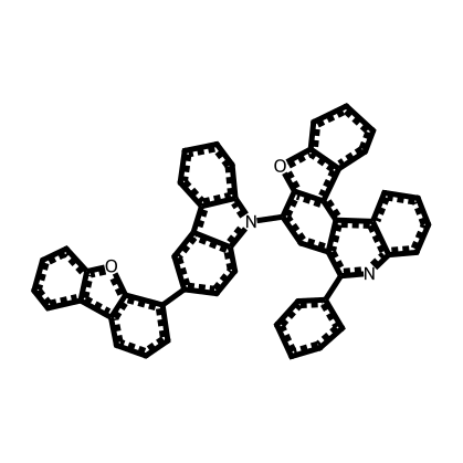 c1ccc(-c2nc3ccccc3c3c2cc(-n2c4ccccc4c4cc(-c5cccc6c5oc5ccccc56)ccc42)c2oc4ccccc4c23)cc1